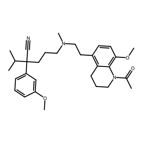 COc1cccc(C(C#N)(CCCN(C)CCc2ccc(OC)c3c2CCCN3C(C)=O)C(C)C)c1